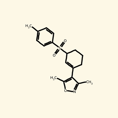 Cc1ccc(S(=O)(=O)C2C=C(c3c(C)noc3C)CCC2)cc1